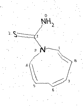 NC(=S)N1C=CC=CC=C1